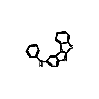 c1ccc(Nc2ccc3nc4sc5ccccc5n4c3c2)cc1